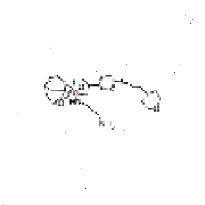 NCCCNC(=O)C12CC3CC(C1)C[C@]1(CC[C@H](c4ccc(OCCN5CCOCC5)cc4)CC1)OOC(C3)C2